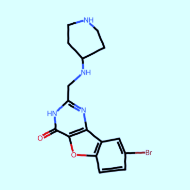 O=c1[nH]c(CNC2CCNCC2)nc2c1oc1ccc(Br)cc12